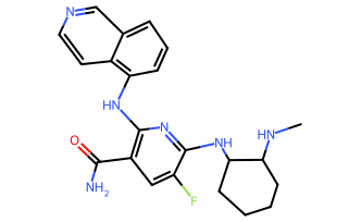 CNC1CCCCC1Nc1nc(Nc2cccc3cnccc23)c(C(N)=O)cc1F